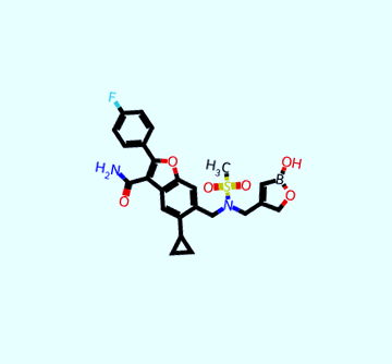 CS(=O)(=O)N(CC1=CB(O)OC1)Cc1cc2oc(-c3ccc(F)cc3)c(C(N)=O)c2cc1C1CC1